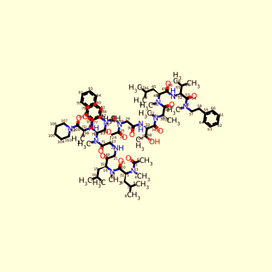 CC(=O)N(C)[C@@H](CC(C)C)C(=O)N(C)[C@@H](CC(C)C)C(=O)CN[C@@H](CC(=O)N(C)CC(=O)N[C@H](C(=O)N(C)[C@@H](C)C(=O)N(C)[C@@H](CC(C)C)C(=O)N[C@H](C(=O)N(C)CCc1ccccc1)C(C)C)[C@@H](C)O)C(=O)N(C)[C@@H](Cc1ccccc1)C(=O)N(C)[C@@H](Cc1ccccc1)C(=O)N[C@@H](C)C(=O)N1CCCCC1